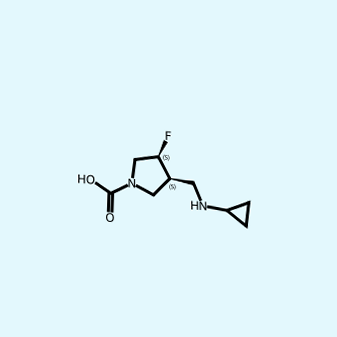 O=C(O)N1C[C@H](CNC2CC2)[C@H](F)C1